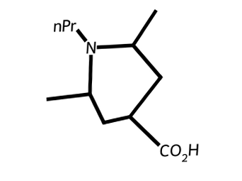 CCCN1C(C)CC(C(=O)O)CC1C